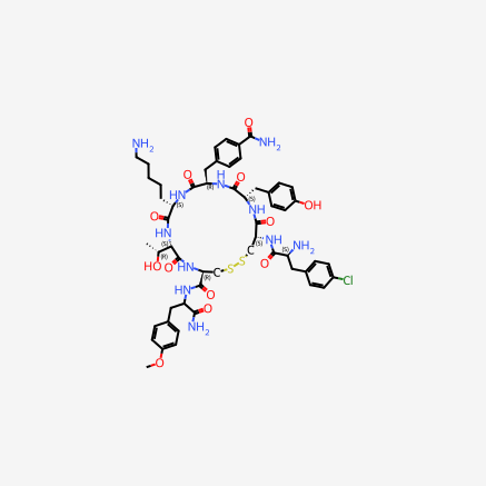 COc1ccc(CC(NC(=O)[C@@H]2CSSC[C@@H](NC(=O)[C@@H](N)Cc3ccc(Cl)cc3)C(=O)N[C@@H](Cc3ccc(O)cc3)C(=O)N[C@H](Cc3ccc(C(N)=O)cc3)C(=O)N[C@@H](CCCCCN)C(=O)N[C@@H]([C@@H](C)O)C(=O)N2)C(N)=O)cc1